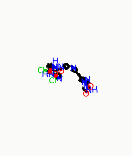 CC1(C)CCC2(CC1)N[C@@H](C(=O)N[C@H]1CC[C@H](CN3CCC(C#Cc4ccn5c(N6CCC(=O)NC6=O)cnc5c4)CC3)CC1)[C@H](c1ccnc(Cl)c1F)[C@]21C(=O)Nc2cc(Cl)ccc21